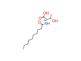 CCCCCCCCCC(=O)N[C@H](C(=O)O)C(C)O